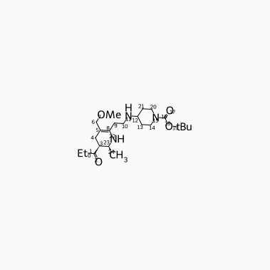 CCC(=O)[C@H]1CC(COC)=C(CCNC2CCN(C(=O)OC(C)(C)C)CC2)N[C@H]1C